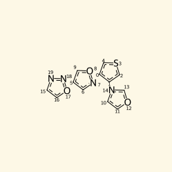 c1ccsc1.c1cnoc1.c1cocn1.c1conn1